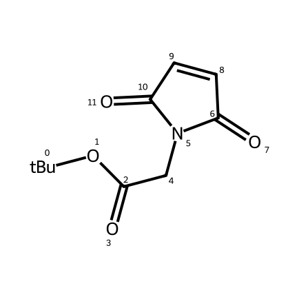 CC(C)(C)OC(=O)CN1C(=O)C=CC1=O